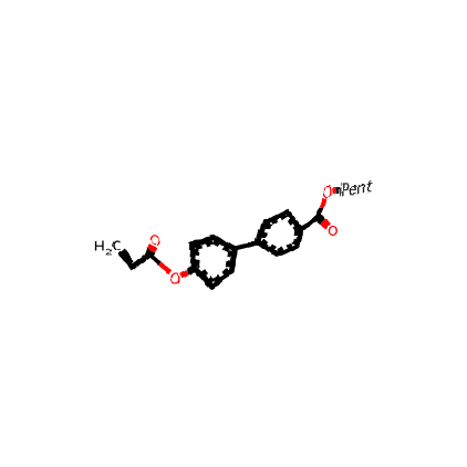 C=CC(=O)Oc1ccc(-c2ccc(C(=O)OC(C)CCC)cc2)cc1